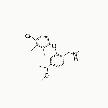 CNCc1ccc(C(C)OC)cc1Oc1ccc(Cl)c(C)c1C